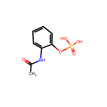 CC(=O)Nc1ccccc1OP(=O)(O)O